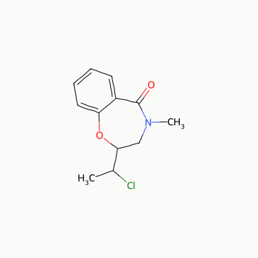 CC(Cl)C1CN(C)C(=O)c2ccccc2O1